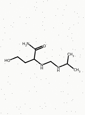 CC(C)NCNC(CCO)C(N)=O